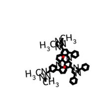 Cc1nc(C)nc(-c2ccc3c(c2)c2ccccc2n3-c2ccccc2-c2ccc(-c3cc(-c4ccccc4)nc(-c4ccccc4)n3)cc2-n2c3ccccc3c3cc(-c4nc(C)nc(C)n4)ccc32)n1